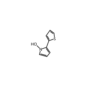 On1cccc1-c1cccs1